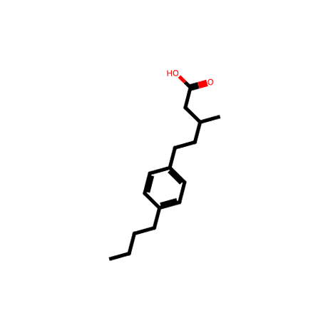 CCCCc1ccc(CCC(C)CC(=O)O)cc1